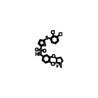 CN1CCC(Oc2cc(NS(=O)(=O)c3ccc(Sc4cccc(Cl)c4Cl)s3)ccc2C(F)(F)F)C1